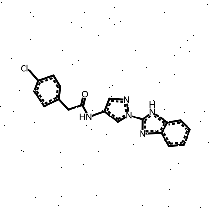 O=C(Cc1ccc(Cl)cc1)Nc1cnn(-c2nc3ccccc3[nH]2)c1